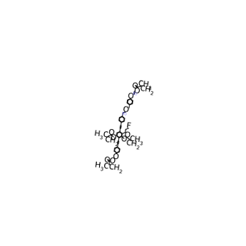 C=C(C)C(=O)O/C=C/Oc1ccc(CO/C=C/c2ccc(C#Cc3cc(OC(=O)C(=C)C)c(C#Cc4ccc(OCOC(=O)C(=C)C)cc4)c(OC(=O)C(=C)C)c3CCCF)cc2)cc1